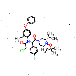 Cc1cc(Oc2ccccc2)ccc1N(C(=O)CCl)[C@@H](C(=O)N1CCN(OC(C)(C)C)[C@@H](C(C)C)C1)c1ccc(F)cc1